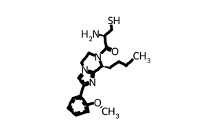 CCCC[C@H]1c2nc(-c3ccccc3OC)cn2CCN1C(=O)[C@@H](N)CS